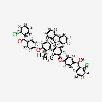 Cc1cc(C2(c3ccc(Oc4ccc(C(=O)c5ccccc5Cl)cc4)c(C)c3)c3ccccc3-c3ccccc32)ccc1Oc1ccc(C(=O)c2ccccc2Cl)cc1